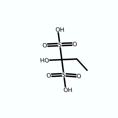 CCC(O)(S(=O)(=O)O)S(=O)(=O)O